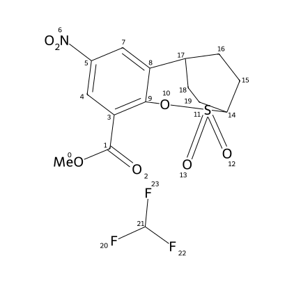 COC(=O)c1cc([N+](=O)[O-])cc2c1OS(=O)(=O)C1CCC2CC1.FC(F)F